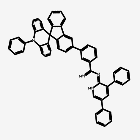 N=C(/N=c1\[nH]cc(-c2ccccc2)cc1-c1ccccc1)c1cccc(-c2ccc3c(c2)-c2ccccc2C32c3ccccc3N(c3ccccc3)c3ccccc32)c1